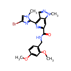 COc1ccc(CNC(=O)c2cc3c(cnn3C)c(-c3nc(Br)cn3C)n2)c(OC)c1